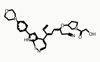 C=C/C(=C\C=C(/CC#N)OC1CCN(C(=O)CO)C1)C1=CC=NSc2[nH]c(-c3ccc(N4CCOCC4)cc3)cc21